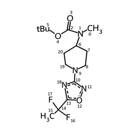 CN(C(=O)OC(C)(C)C)C1CCN(c2noc(C(C)(F)F)n2)CC1